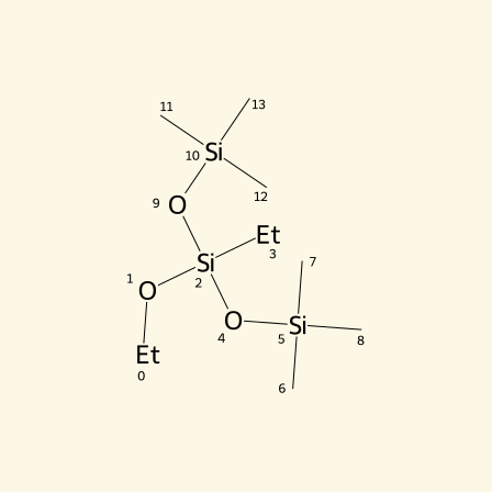 CCO[Si](CC)(O[Si](C)(C)C)O[Si](C)(C)C